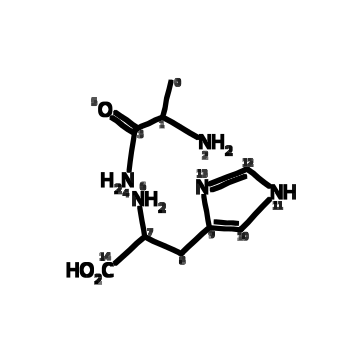 CC(N)C(N)=O.NC(Cc1c[nH]cn1)C(=O)O